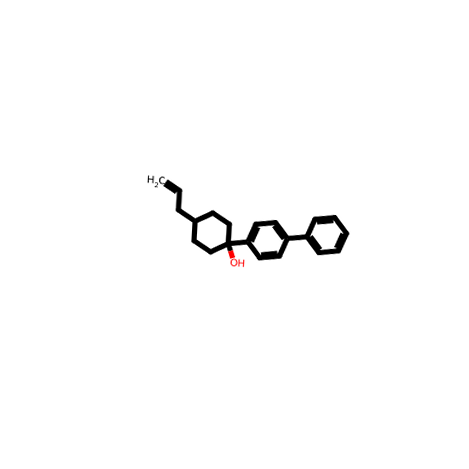 C=CCC1CCC(O)(c2ccc(-c3ccccc3)cc2)CC1